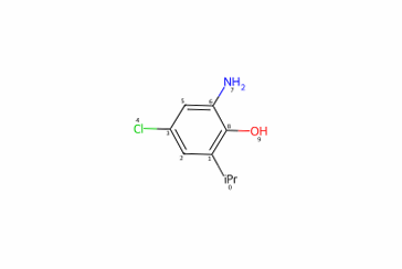 CC(C)c1cc(Cl)cc(N)c1O